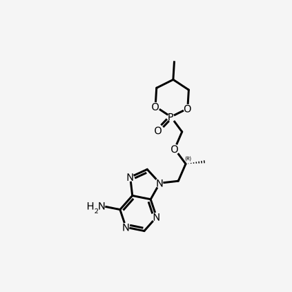 CC1COP(=O)(CO[C@H](C)Cn2cnc3c(N)ncnc32)OC1